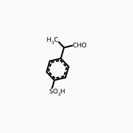 CC(C=O)c1ccc(S(=O)(=O)O)cc1